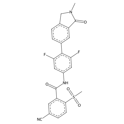 CN1Cc2ccc(-c3c(F)cc(NC(=O)c4cc(C#N)ccc4S(C)(=O)=O)cc3F)cc2C1=O